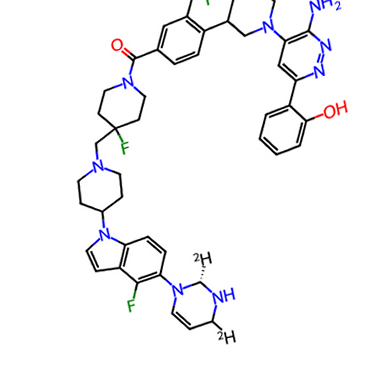 [2H]C1C=CN(c2ccc3c(ccn3C3CCN(CC4(F)CCN(C(=O)c5ccc(C6CN(c7cc(-c8ccccc8O)nnc7N)CCC6(F)F)c(C)c5)CC4)CC3)c2F)[C@H]([2H])N1